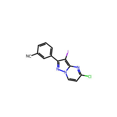 N#Cc1cccc(-c2nn3ccc(Cl)nc3c2I)c1